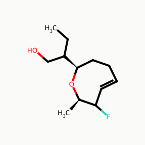 CCC(CO)[C@H]1CC/C=C/C(F)[C@@H](C)O1